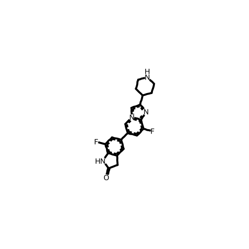 O=C1Cc2cc(-c3cc(F)c4nc(C5CCNCC5)cn4c3)cc(F)c2N1